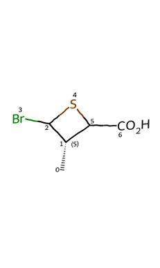 C[C@@H]1C(Br)SC1C(=O)O